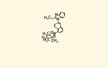 CCc1nc2ccccc2n1-c1ccc2c(B3OC(C)(C)C(C)(C)O3)cccc2c1